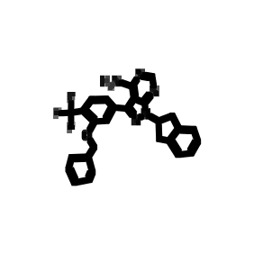 Nc1ncnc2c1c(-c1ccc(C(F)(F)F)c(OCc3ccccc3)c1)nn2C1Cc2ccccc2C1